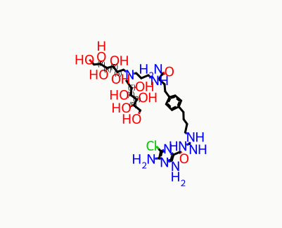 N=C(NCCCCc1ccc(CCC(NCCCN(C[C@H](O)[C@@H](O)[C@H](O)[C@H](O)CO)C[C@H](O)[C@@H](O)[C@H](O)[C@H](O)CO)C(N)=O)cc1)NC(=O)c1nc(Cl)c(N)nc1N